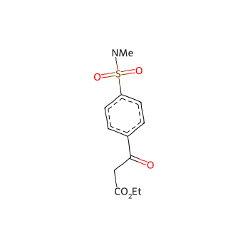 CCOC(=O)CC(=O)c1ccc(S(=O)(=O)NC)cc1